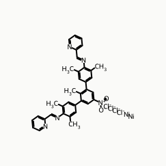 Cc1cc(-c2cc([N+](=O)[O-])cc(-c3cc(C)c(N=Cc4ccccn4)c(C)c3)c2C)cc(C)c1N=Cc1ccccn1.[Cl-].[Cl-].[Cl-].[Cl-].[Ni].[Ni]